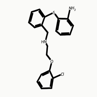 Nc1ccccc1Sc1ccccc1CNCCOc1ccccc1Cl